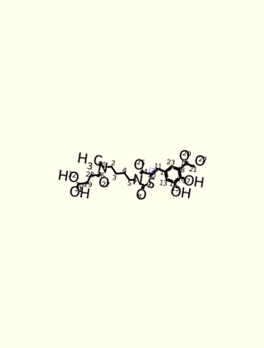 CN(CCCCN1C(=O)S/C(=C\c2cc(O)c(O)c(C(=O)C=O)c2)C1=O)C(=O)CCC(O)O